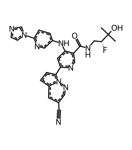 CC(C)(O)[C@H](F)CNC(=O)c1cnc(-c2ccc3cc(C#N)cnn23)cc1Nc1ccc(-n2ccnc2)nc1